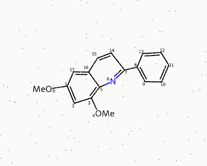 COc1cc(OC)c2nc(-c3ccccc3)ccc2c1